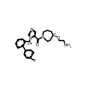 C[C@@H](c1ccccc1-c1ccc(F)cc1)n1cncc1C(=O)N1CCC[C@@H](OCCN)CC1